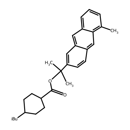 CCC(C)C1CCC(C(=O)OC(C)(C)c2ccc3cc4c(C)cccc4cc3c2)CC1